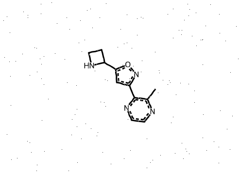 Cc1nccnc1-c1cc(C2CCN2)on1